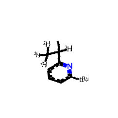 [2H]C([2H])([2H])C([2H])(C)c1cccc(C(C)(C)C)n1